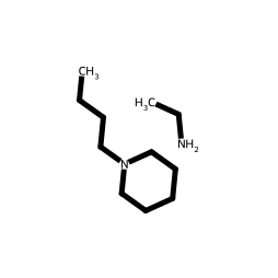 CCCCN1CCCCC1.CCN